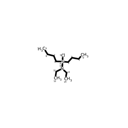 CCCC[Si](Cl)(CCCC)N(CC)CC